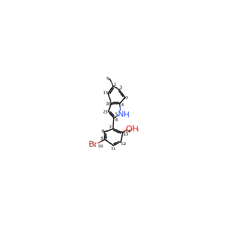 Cc1ccc2[nH]c(-c3cc(Br)ccc3O)cc2c1